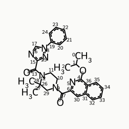 CC(C)Oc1nc(C(=O)N2CCN(C(=O)c3ncn(-c4ccccc4)n3)C(C)(C)C2)cc2ccccc12